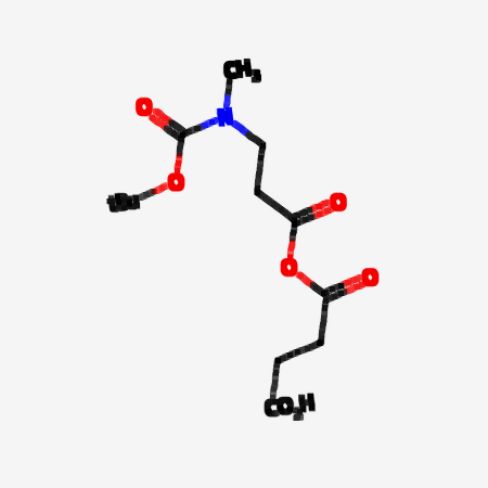 CN(CCC(=O)OC(=O)CCC(=O)O)C(=O)OC(C)(C)C